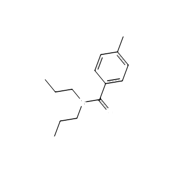 CCCN(CCC)C(=O)c1ccc(C)cc1